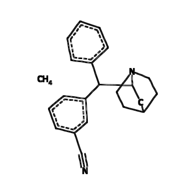 C.N#Cc1cccc(C(c2ccccc2)C2CC3CCN2CC3)c1